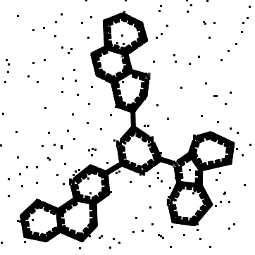 c1ccc2c(c1)ccc1cc(-c3nc(-c4cnc5c(ccc6ccccc65)c4)nc(-n4c5ncccc5c5cccnc54)n3)cnc12